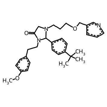 COc1ccc(CCN2C(=O)CN(CCCOCc3cccnc3)C2c2ccc(C(C)(C)C)cc2)cc1